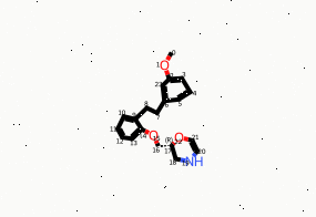 COc1cccc(CCc2ccccc2OC[C@H]2CNC=CO2)c1